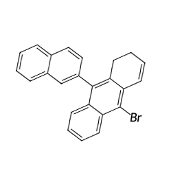 Brc1c2c(c(-c3ccc4ccccc4c3)c3ccccc13)CCC=C2